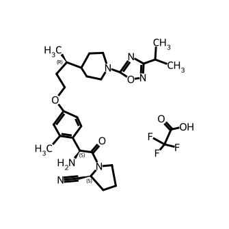 Cc1cc(OCC[C@@H](C)C2CCN(c3nc(C(C)C)no3)CC2)ccc1[C@H](N)C(=O)N1CCC[C@H]1C#N.O=C(O)C(F)(F)F